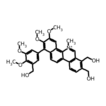 COc1cc(-c2c(OC)c(OC)cc3c2ccc2c4ccc(CO)c(CO)c4c[n+](C)c32)cc(CO)c1OC